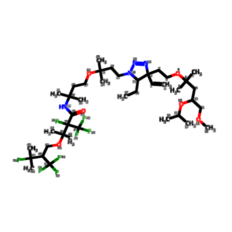 C=CC1(CCOC(C)(C)CC(COC)OC(C)C)N=NN(CCC(C)(C)OCCC(C)(C)NC(=O)C(F)(C(F)(F)F)C(C)(C)OCC(C(C)(C)F)C(F)(F)F)C1CC